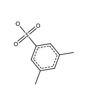 Cc1cc(C)cc(S([O])(=O)=O)c1